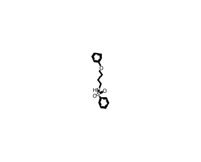 O=S(=O)(NCCCCOc1ccccc1)c1ccccc1